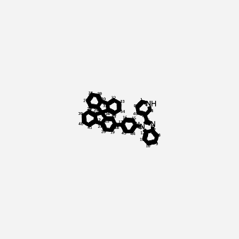 C1=CNCC(c2nc3ccccc3n2-c2ccc(-c3ccc4c(c3)C3(c5ccccc5-c5ccccc53)c3ccccc3-4)cc2)=C1